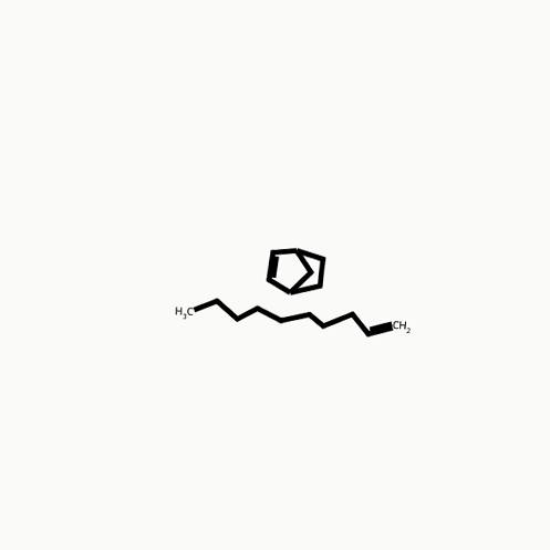 C1=CC2CCC1C2.C=CCCCCCCCC